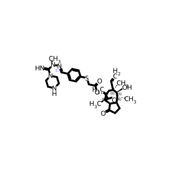 C=C[C@]1(C)C[C@@H](OC(=O)CSc2ccc(/C=N/N(C)C(=N)N3CCNCC3)cc2)[C@]2(C)C(C)CCC3(CCC(=O)C32)[C@@H](C)[C@@H]1O